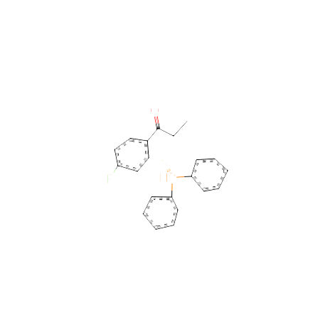 CCC(=O)c1ccc(F)cc1.S=[PH](c1ccccc1)c1ccccc1